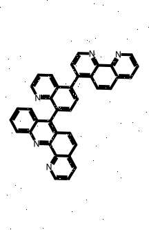 c1cnc2c(c1)ccc1c(-c3ccc(-c4c5ccccc5nc5c4ccc4cccnc45)c4ncccc34)ccnc12